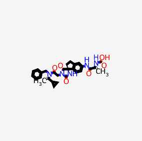 C[C@@H](NC(=O)O)C(=O)Nc1ccc2c(c1)CC[C@]21NC(=O)N(CC(=O)N(Cc2ccccc2)[C@@H](C)C2CC2)C1=O